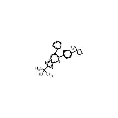 CC(C)(O)c1nc2nc(-c3ccc(C4(N)CCC4)cc3)c(-c3ccccc3)cn2n1